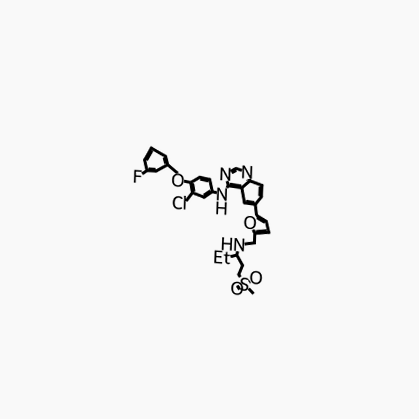 CCC(CCS(C)(=O)=O)NCc1ccc(-c2ccc3ncnc(Nc4ccc(OCc5cccc(F)c5)c(Cl)c4)c3c2)o1